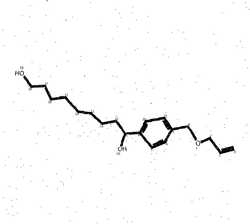 C=CCOCc1ccc(C(O)CCCCCCCCO)cc1